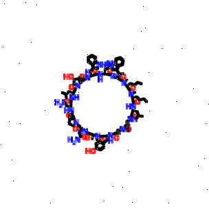 CCCC[C@H]1C(=O)N(C)[C@@H](CCCC)C(=O)N[C@@H](CC(C)C)C(=O)NCC(=O)NCC(=O)N[C@@H](Cc2ccc(O)cc2)C(=O)N(C)[C@@H](C)C(=O)N[C@@H](CC(N)=O)C(=O)N2CCC[C@H]2C(=O)N[C@@H](CN)C(=O)N[C@@H](CC(C)C)C(=O)N2C[C@H](O)C[C@H]2C(=O)N[C@@H](Cc2c[nH]c3ccccc23)C(=O)N[C@@H](CCN)C(=O)N[C@@H](C(C)c2c[nH]c3ccccc23)C(=O)N1C